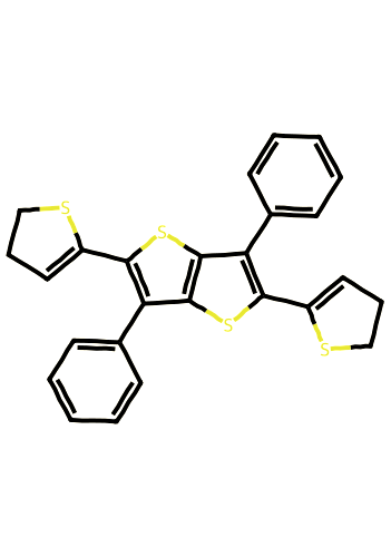 C1=C(c2sc3c(-c4ccccc4)c(C4=CCCS4)sc3c2-c2ccccc2)SCC1